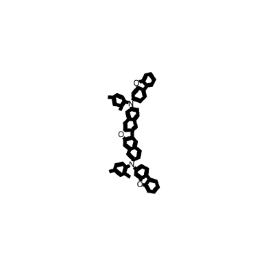 Cc1ccc(N(c2ccc3cc4c(cc3c2)oc2cc3cc(N(c5ccc6c(c5)oc5ccccc56)c5ccc(C)cc5C)ccc3cc24)c2ccc3c(c2)oc2ccccc23)c(C)c1